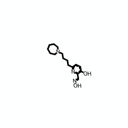 ON=Cc1nc(CCCCN2CCCCCC2)ccc1O